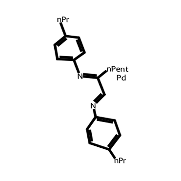 CCCCCC(C=Nc1ccc(CCC)cc1)=Nc1ccc(CCC)cc1.[Pd]